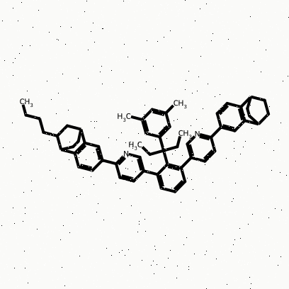 CCCCC1CC2CCC1c1ccc(-c3ccc(-c4cccc(-c5ccc(-c6ccc7c(c6)C6CCC7CC6)nc5)c4C(CC)(CC)c4cc(C)cc(C)c4)cn3)cc12